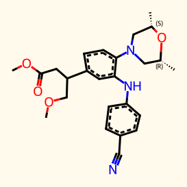 COCC(CC(=O)OC)c1ccc(N2C[C@@H](C)O[C@@H](C)C2)c(Nc2ccc(C#N)cc2)c1